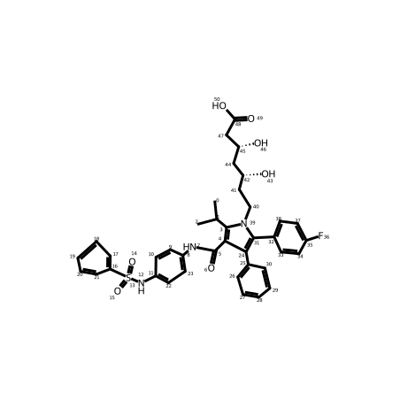 CC(C)c1c(C(=O)Nc2ccc(NS(=O)(=O)c3ccccc3)cc2)c(-c2ccccc2)c(-c2ccc(F)cc2)n1CC[C@@H](O)C[C@@H](O)CC(=O)O